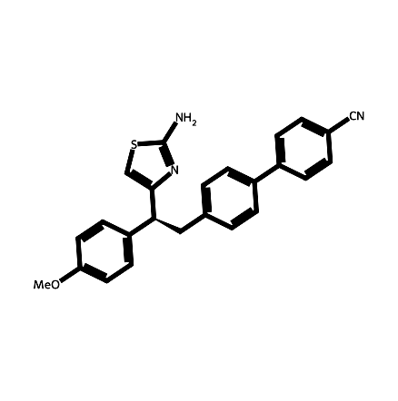 COc1ccc([C@H](Cc2ccc(-c3ccc(C#N)cc3)cc2)c2csc(N)n2)cc1